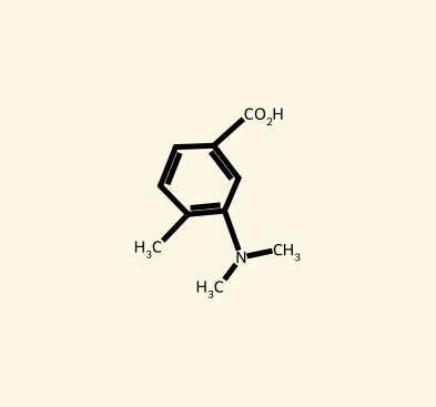 Cc1ccc(C(=O)O)cc1N(C)C